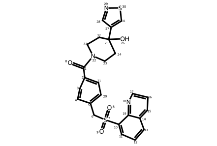 O=C(c1ccc(CS(=O)(=O)c2cccc3cccnc23)cc1)N1CCC(O)(c2cnsc2)CC1